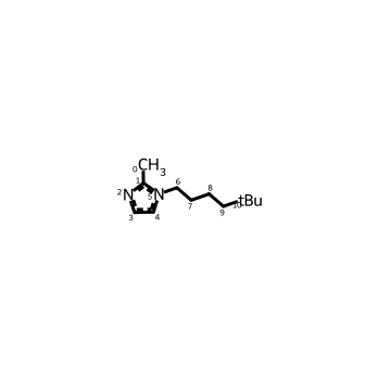 Cc1nccn1CCCCC(C)(C)C